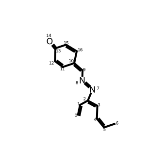 C=CC(=C\C=C/C)/N=N/C=C1C=CC(=O)C=C1